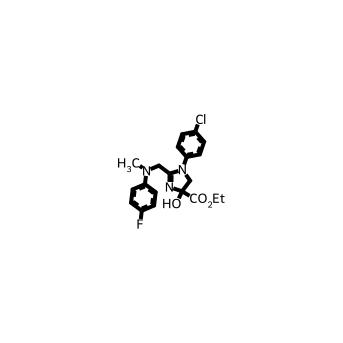 CCOC(=O)C1(O)CN(c2ccc(Cl)cc2)C(CN(C)c2ccc(F)cc2)=N1